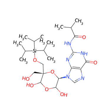 CC(C)C(=O)Nc1nc2c(ncn2[C@@H]2O[C@@](CO)(CO[Si](C(C)C)(C(C)C)C(C)C)C(O)OC2O)c(=O)[nH]1